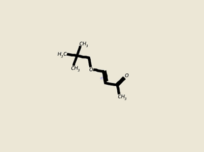 CC(=O)/C=C/OCC(C)(C)C